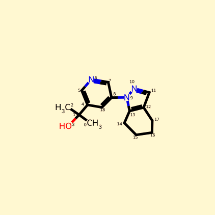 CC(C)(O)c1cncc(-n2ncc3c2CCCC3)c1